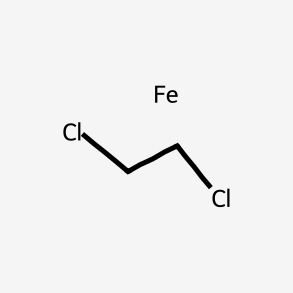 ClCCCl.[Fe]